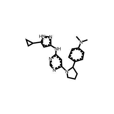 CN(C)c1ccc(C2CCCN2c2cc(Nc3cc(C4CC4)[nH]n3)ncn2)cc1